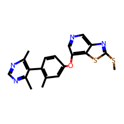 CSc1nc2cncc(Oc3ccc(-c4c(C)ncnc4C)c(C)c3)c2s1